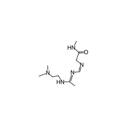 CNC(=O)C/N=C\N=C(/C)NCCN(C)C